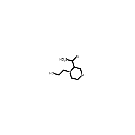 CCC(C1CNCCN1CCO)S(=O)(=O)O